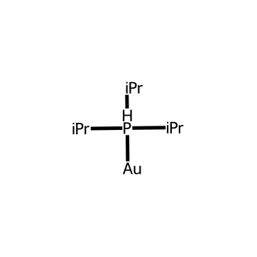 CC(C)[PH]([Au])(C(C)C)C(C)C